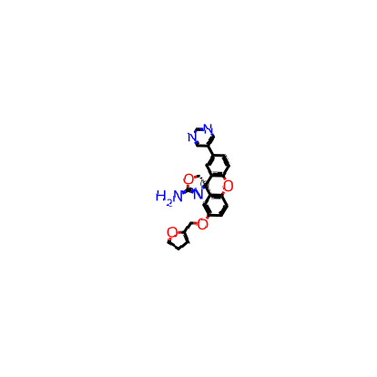 NC1=N[C@]2(CO1)c1cc(OCC3CCCO3)ccc1Oc1ccc(-c3cncnc3)cc12